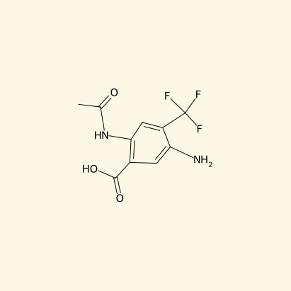 CC(=O)Nc1cc(C(F)(F)F)c(N)cc1C(=O)O